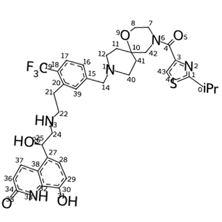 CC(C)c1nc(C(=O)N2CCOC3(CCN(Cc4ccc(C(F)(F)F)c(CCNC[C@H](O)c5ccc(O)c6[nH]c(=O)ccc56)c4)CC3)C2)cs1